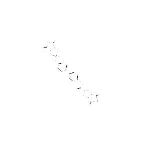 O=CC1(Nc2ccc(-c3ccc(NC(=O)C4CC5C(=O)NC(=O)C5C4)cc3)cc2)CC2C(=O)NC(=O)C2C1